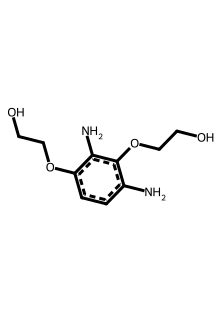 Nc1ccc(OCCO)c(N)c1OCCO